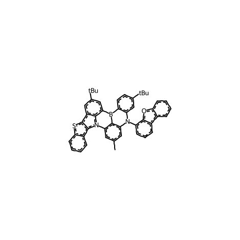 Cc1cc2c3c(c1)-n1c4c(cc(C(C)(C)C)cc4c4sc5ccccc5c41)B3c1ccc(C(C)(C)C)cc1N2c1cccc2c1oc1ccccc12